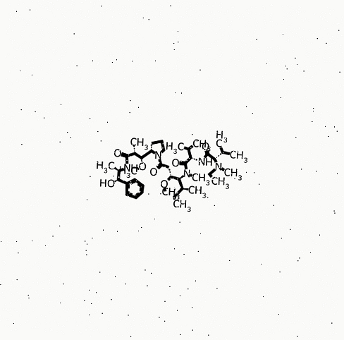 CC[C@H](C)[C@@H]([C@@H](CC(=O)N1CCC[C@H]1[C@H](OC)[C@@H](C)C(=O)N[C@H](C)[C@@H](O)c1ccccc1)OC)N(C)C(=O)[C@@H](NC(=O)[C@H](C(C)C)N(C)CC)C(C)C